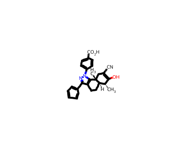 C[C@H]1C(O)=C(C#N)C[C@@]2(C)c3c(c(-c4ccccc4)nn3-c3ccc(C(=O)O)cc3)CC[C@H]12